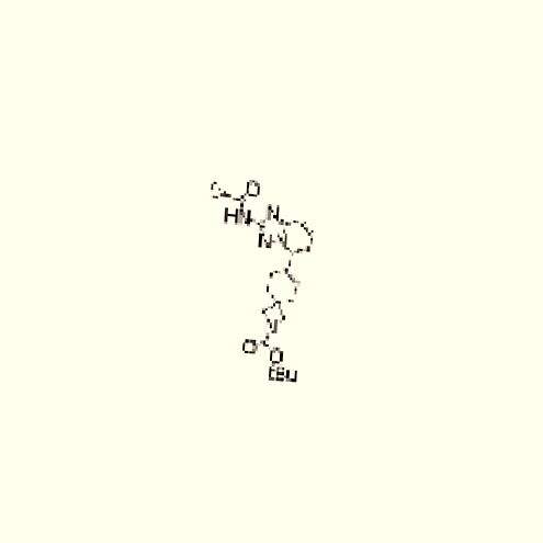 CC(C)(C)OC(=O)N1CC2(CC=C(c3cccc4nc(NC(=O)C5CC5)nn34)CC2)C1